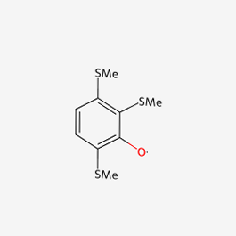 CSc1ccc(SC)c(SC)c1[O]